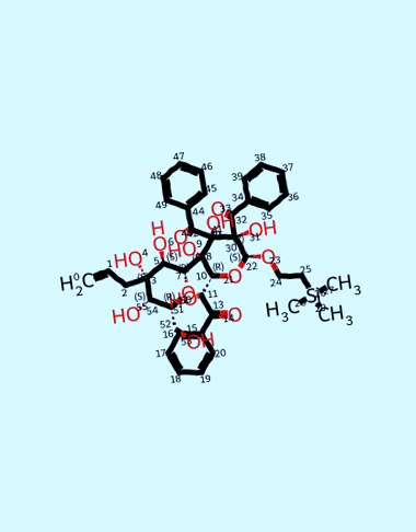 C=CC[C@@]1(O)[C@@H](O)[C@H]([C@]2(O)[C@@H](C(O)C(=O)c3ccccc3)O[C@H](OCC[Si](C)(C)C)[C@@](O)(C(=O)c3ccccc3)[C@]2(O)C(=O)c2ccccc2)O[C@H](CO)[C@@H]1O